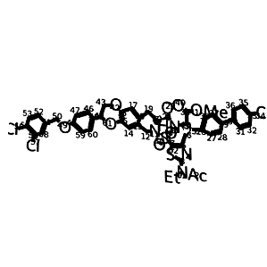 CCN(C(C)=O)c1nc(C)c(S(=O)(=O)N2Cc3cc4c(cc3C[C@H]2C(=O)N[C@@H](Cc2ccc(-c3ccc(C#N)cc3)cc2)C(=O)OC)OCC(c2ccc(OCc3ccc(Cl)c(Cl)c3)cc2)O4)s1